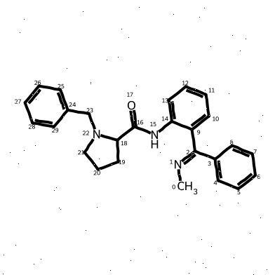 C/N=C(\c1ccccc1)c1ccccc1NC(=O)C1CCCN1Cc1ccccc1